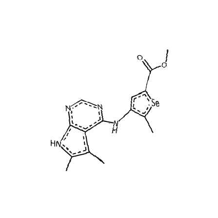 COC(=O)c1cc(Nc2ncnc3[nH]c(C)c(C)c23)c(C)[se]1